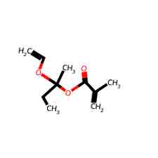 C=COC(C)(CC)OC(=O)C(=C)C